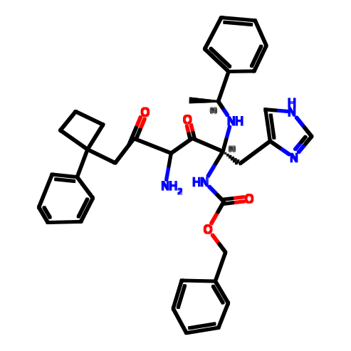 C[C@H](N[C@@](Cc1c[nH]cn1)(NC(=O)OCc1ccccc1)C(=O)C(N)C(=O)CC1(c2ccccc2)CCC1)c1ccccc1